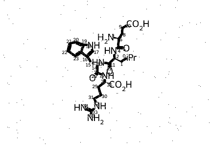 CC(C)C[C@H](NC(=O)[C@@H](N)CCC(=O)O)C(=O)N[C@@H](Cc1c[nH]c2ccccc12)C(=O)N[C@@H](CCCNC(=N)N)C(=O)O